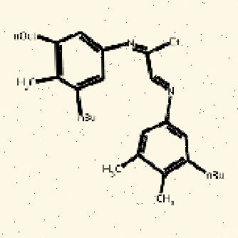 CCCCCCCCc1cc(N=C(C=Nc2cc(C)c(C)c(CCCC)c2)CC)cc(CCCC)c1C